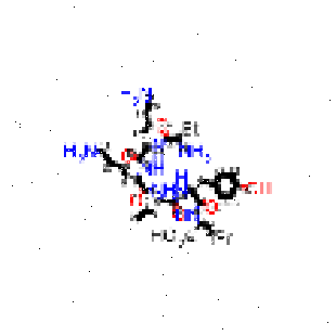 C=CC[C@H](NC(=O)[C@H](CCCCN)NC(=O)[C@H](CCCCN)NC(=O)[C@H](N)CC)C(=O)N[C@@H](Cc1ccc(O)cc1)C(=O)N[C@@H](CC(C)C)C(=O)O